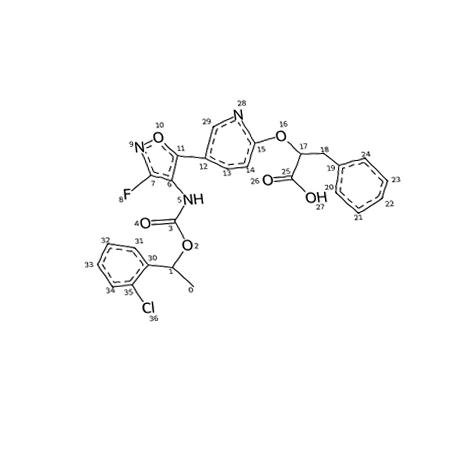 CC(OC(=O)Nc1c(F)noc1-c1ccc(OC(Cc2ccccc2)C(=O)O)nc1)c1ccccc1Cl